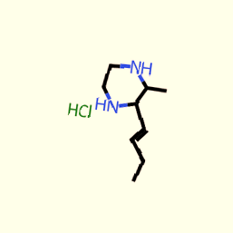 CCC=CC1NCCNC1C.Cl